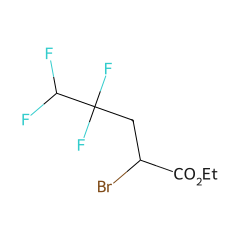 CCOC(=O)C(Br)CC(F)(F)C(F)F